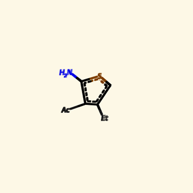 CCc1csc(N)c1C(C)=O